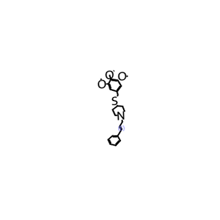 COc1cc(CSC2CCN(C/C=C/c3ccccc3)CC2)cc(OC)c1OC